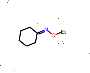 C[CH]ON=C1CCCCC1